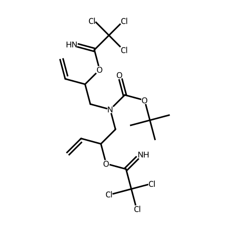 C=CC(CN(CC(C=C)OC(=N)C(Cl)(Cl)Cl)C(=O)OC(C)(C)C)OC(=N)C(Cl)(Cl)Cl